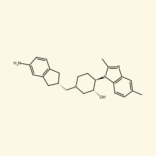 Cc1ccc2c(c1)nc(C)n2[C@@H]1CCN(C[C@H]2Cc3ccc(N)cc3C2)C[C@H]1O